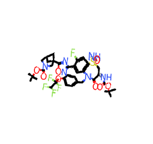 CC(C)(C)OC(=O)N[C@H]1CS(=N)(=O)c2cc(F)c(-c3noc(C45CC(CN(C(=O)OC(C)(C)C)C4)C5)n3)cc2N(Cc2ccc(OC(F)(F)C(F)F)cc2)C1=O